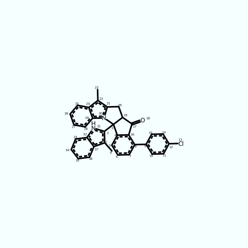 Cc1c(C23c4cccc(-c5ccc(Cl)cc5)c4C(=O)C2Cc2c(C)c4ccccc4n23)[nH]c2ccccc12